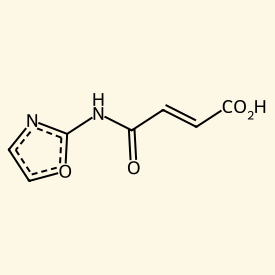 O=C(O)C=CC(=O)Nc1ncco1